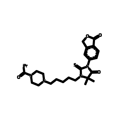 CC(C)C(=O)N1CCN(CCCCCN2C(=S)N(c3ccc4c(c3)COC4=O)C(=O)C2(C)C)CC1